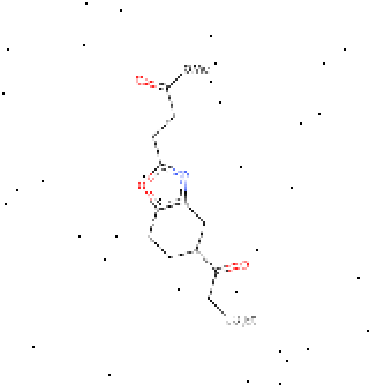 CCOC(=O)CC(=O)C1CCc2oc(CCC(=O)OC)nc2C1